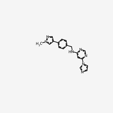 Cn1cc(-c2ccc(CNc3cc(-n4ccnc4)ncn3)cc2)cn1